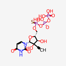 C#C[C@@]1(O)[C@H](O)[C@@H](CO[P@](O)(=S)OP(=O)(O)OP(=O)(O)O)O[C@H]1n1ccc(=O)[nH]c1=O